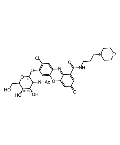 CC(=O)NC1[C@H](Oc2cc3oc4cc(=O)cc(C(=O)NCCCN5CCOCC5)c-4nc3cc2Cl)OC(CO)[C@H](O)[C@@H]1O